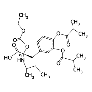 CCOC(=O)O[C@](Cc1ccc(OC(=O)C(C)C)c(OC(=O)C(C)C)c1)(NC(C)CC)C(=O)O